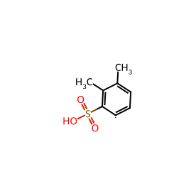 Cc1cc[c]c(S(=O)(=O)O)c1C